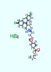 Br.CCOC(=O)c1ccc(OCCCN2CCC(=C(c3ccc(F)cc3)c3ccc(F)cc3)CC2)cc1